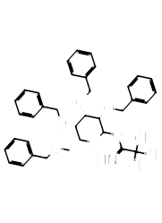 N=C(OC1O[C@H](COCc2ccccc2)[C@H](OCc2ccccc2)[C@H](OCc2ccccc2)[C@H]1OCc1ccccc1)C(Cl)(Cl)Cl